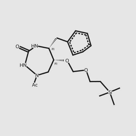 CC(=O)N1C[C@@H](OCOCC[Si](C)(C)C)[C@@H](Cc2ccccc2)NC(=O)N1